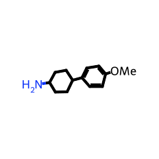 COc1ccc(C2CCC(N)CC2)cc1